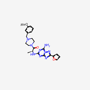 COc1cccc(CN2CCN(C(=O)[C@H](C)Nc3nc(N)n4nc(-c5ccco5)nc4n3)CC2)c1